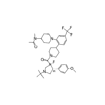 COc1ccc([C@@H]2CN(C(C)(C)C)C[C@@]2(F)C(=O)N2CCC(c3ccc(C(F)(F)F)cc3N3CCC(N(C)C(C)=O)CC3)CC2)cc1